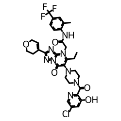 CCc1c(N2CCN(C(=O)c3ncc(Cl)cc3O)CC2)c(=O)n2nc(C3=CCOCC3)nc2n1CC(=O)Nc1ccc(C(F)(F)F)cc1C